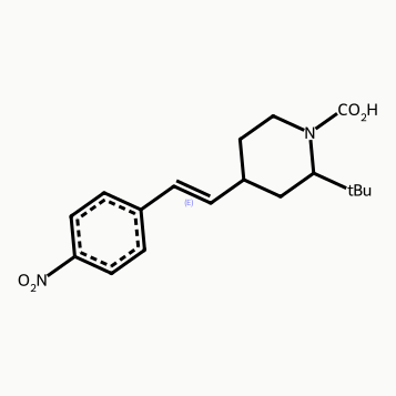 CC(C)(C)C1CC(/C=C/c2ccc([N+](=O)[O-])cc2)CCN1C(=O)O